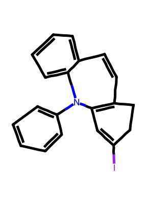 IC1=CC2=C(C=Cc3ccccc3N2c2ccccc2)CC1